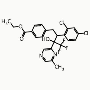 CCOC(=O)c1ccc(CC(c2ccc(Cl)cc2Cl)C(O)(c2cncc(C)n2)C(F)(F)F)cc1